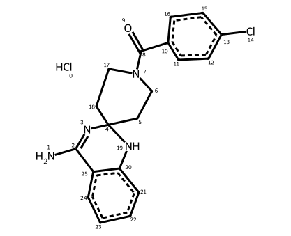 Cl.NC1=NC2(CCN(C(=O)c3ccc(Cl)cc3)CC2)Nc2ccccc21